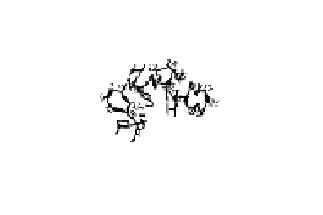 FC(F)(F)c1cccc(NC(=S)N2CCN=C2Nc2cnccn2)c1